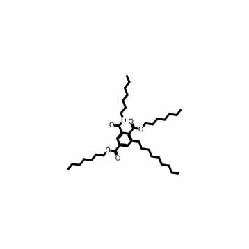 CCCCCCCCCc1cc(C(=O)OCCCCCCC)cc(C(=O)OCCCCCCC)c1C(=O)OCCCCCCC